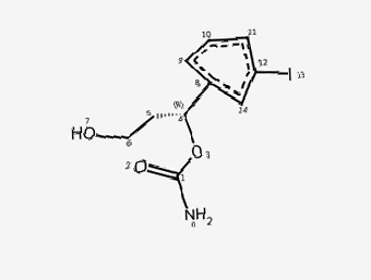 NC(=O)O[C@H](CCO)c1cccc(I)c1